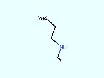 CSCCNC(C)C